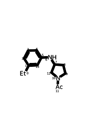 CCc1cccc(NC2CCN(C(C)=O)C2)c1